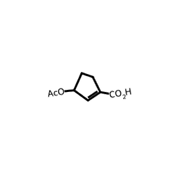 CC(=O)OC1C=C(C(=O)O)CC1